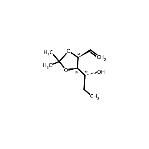 C=C[C@@H]1OC(C)(C)O[C@@H]1[C@H](O)CC